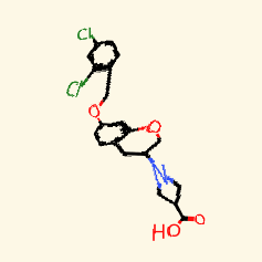 O=C(O)C1CN(C2COc3cc(OCc4ccc(Cl)cc4Cl)ccc3C2)C1